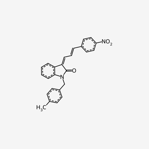 Cc1ccc(CN2C(=O)/C(=C\C=C\c3ccc([N+](=O)[O-])cc3)c3ccccc32)cc1